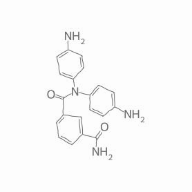 NC(=O)c1cccc(C(=O)N(c2ccc(N)cc2)c2ccc(N)cc2)c1